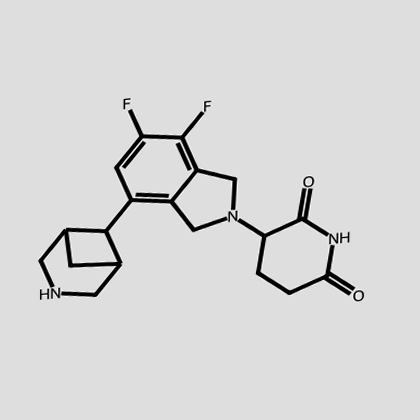 O=C1CCC(N2Cc3c(C4C5CNCC4C5)cc(F)c(F)c3C2)C(=O)N1